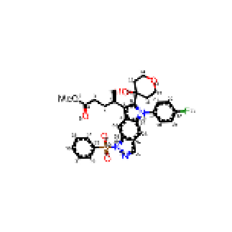 C=C(CCC(=O)OC)c1c(C2(O)CCOCC2)n(-c2ccc(F)cc2)c2cc3cnn(S(=O)(=O)c4ccccc4)c3cc12